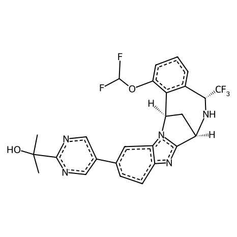 CC(C)(O)c1ncc(-c2ccc3nc4n(c3c2)[C@@H]2C[C@H]4N[C@@H](C(F)(F)F)c3cccc(OC(F)F)c32)cn1